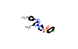 Cc1ccc(Nc2cc(C)nc(N3CCN(S(=O)(=O)c4ccc(F)cc4)CC3)n2)cc1